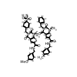 COc1ccc(CNC(=O)c2cc3c(=O)n(Cc4ccc(S(N)(=O)=O)cc4)c(=O)n(C)c3s2)cc1.Cc1ccc(CNC(=O)c2cc3c(=O)n(Cc4ccccc4)c(=O)n(C)c3s2)cc1